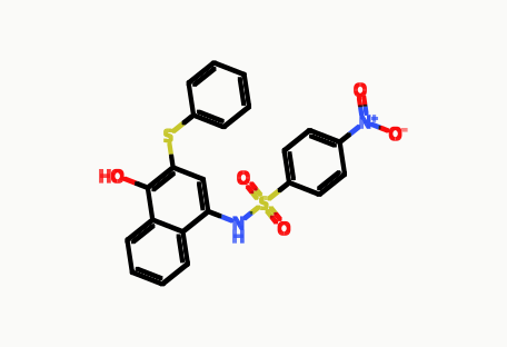 O=[N+]([O-])c1ccc(S(=O)(=O)Nc2cc(Sc3ccccc3)c(O)c3ccccc23)cc1